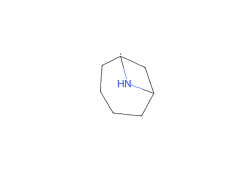 C1CCC2C[C](C1)N2